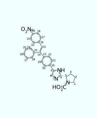 O=C(O)N1CCC[C@H]1c1ncc(-c2ccc(/C(=C/c3ccc([N+](=O)[O-])cc3)c3ccccc3)cc2)[nH]1